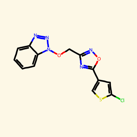 Clc1cc(-c2nc(COn3nnc4ccccc43)no2)cs1